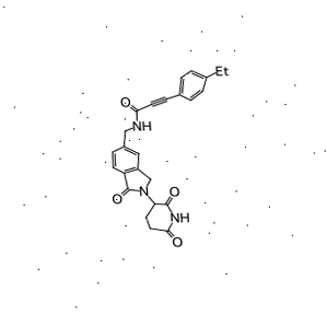 CCc1ccc(C#CC(=O)NCc2ccc3c(c2)CN(C2CCC(=O)NC2=O)C3=O)cc1